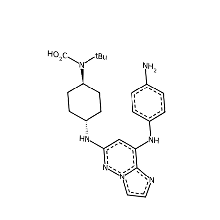 CC(C)(C)N(C(=O)O)[C@H]1CC[C@H](Nc2cc(Nc3ccc(N)cc3)c3nccn3n2)CC1